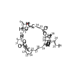 C=C1C[C@@H]2C[C@@H]3CCO[C@@H](O3)c3cccc(c3)/C=C/C[C@H]3O[C@@H](/C(C)=C/I)[C@H](C)[C@@H](OC(=O)/C=C\C[C@@H](C1)O2)[C@H]3C